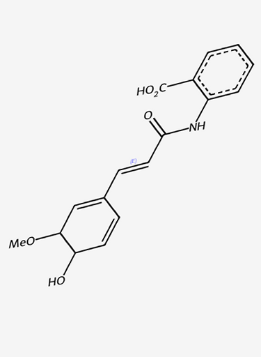 COC1C=C(/C=C/C(=O)Nc2ccccc2C(=O)O)C=CC1O